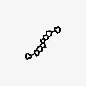 c1ccc(-c2ccc3cc4sc5c6cc7cc(-c8ccccc8)ccc7cc6sc5c4cc3c2)cc1